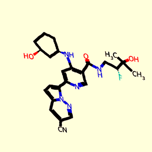 CC(C)(O)[C@H](F)CNC(=O)c1cnc(-c2ccc3cc(C#N)cnn23)cc1N[C@@H]1CCC[C@H](O)C1